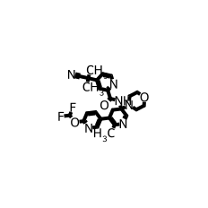 CC1=C(c2ccc(OC(F)F)nc2)CC(NC(=O)c2cc(C(C)(C)C#N)ccn2)(N2CCOCC2)C=N1